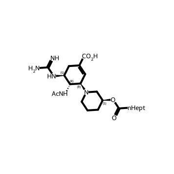 CCCCCCCC(=O)O[C@H]1CCCN([C@@H]2C=C(C(=O)O)C[C@H](NC(=N)N)[C@H]2NC(C)=O)C1